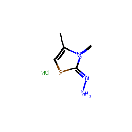 Cc1cs/c(=N\N)n1C.Cl